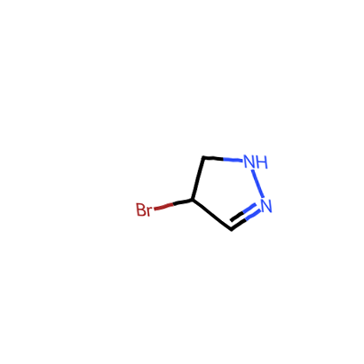 BrC1C=NNC1